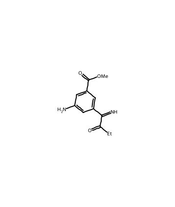 CCC(=O)C(=N)c1cc(N)cc(C(=O)OC)c1